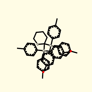 Cc1cc[c]([Ge]([c]2ccc(C)cc2)([c]2ccc(C)cc2)[C]2([Ge]([c]3ccc(C)cc3)([c]3ccc(C)cc3)[c]3ccc(C)cc3)CCCCO2)cc1